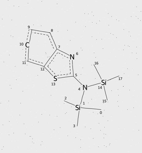 C[Si](C)(C)N(c1nc2ccccc2s1)[Si](C)(C)C